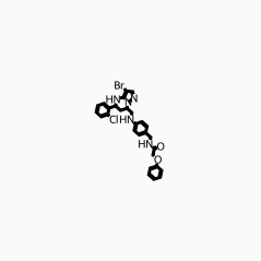 O=C(COc1ccccc1)NCc1ccc(NCC2CC(c3ccccc3Cl)Nc3c(Br)cnn32)cc1